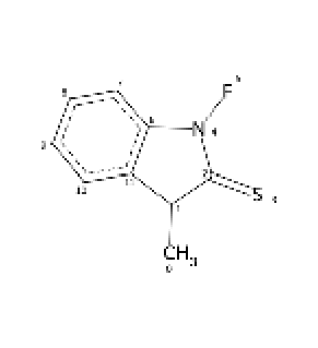 CC1C(=S)N(F)c2ccccc21